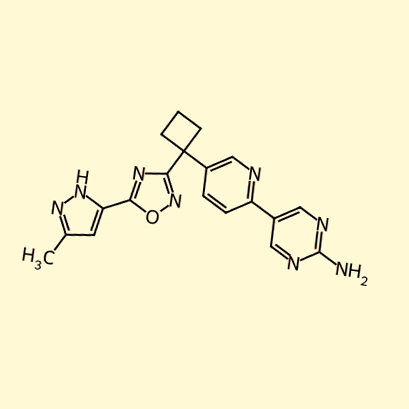 Cc1cc(-c2nc(C3(c4ccc(-c5cnc(N)nc5)nc4)CCC3)no2)[nH]n1